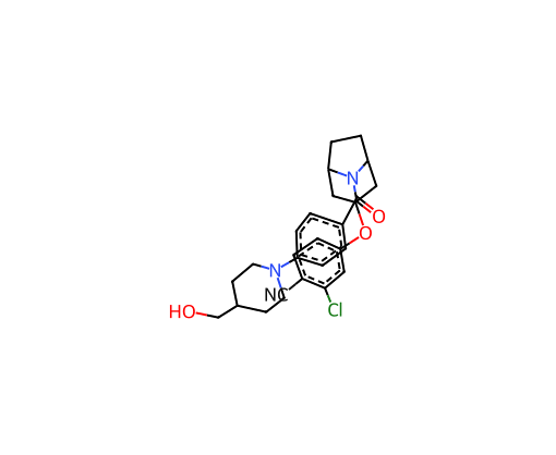 N#Cc1ccc(OC2CC3CCC(C2)N3C(=O)c2ccc(N3CCC(CO)CC3)cc2)cc1Cl